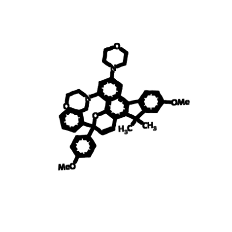 COc1ccc(C2(c3ccccc3)C=Cc3c4c(c5cc(N6CCOCC6)cc(N6CCOCC6)c5c3O2)-c2ccc(OC)cc2C4(C)C)cc1